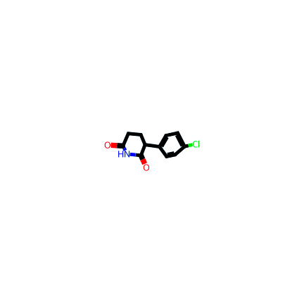 O=C1CCC(c2ccc(Cl)cc2)C(=O)N1